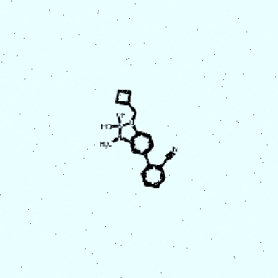 CN1c2cc(-c3ccccc3C#N)ccc2N(CC2CCC2)S1(O)O